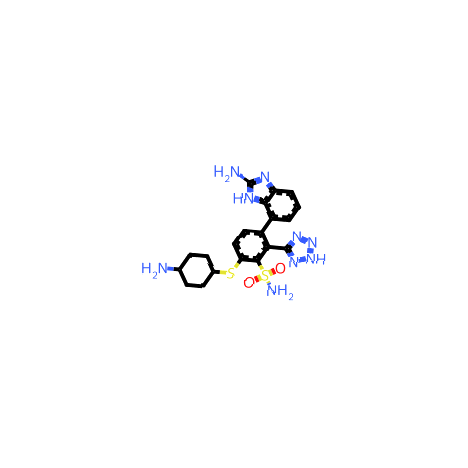 Nc1nc2cccc(-c3ccc(SC4CCC(N)CC4)c(S(N)(=O)=O)c3-c3nn[nH]n3)c2[nH]1